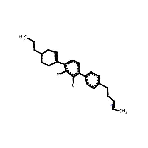 C/C=C/CCc1ccc(-c2ccc(C3=CCC(CCC)CC3)c(F)c2Cl)cc1